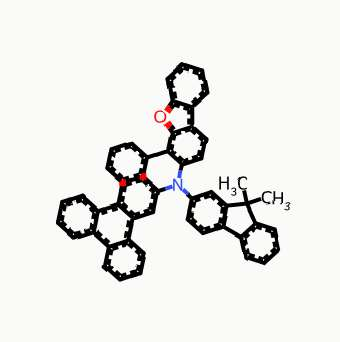 CC1(C)c2ccccc2-c2ccc(N(c3ccc4c5ccccc5c5ccccc5c4c3)c3ccc4c(oc5ccccc54)c3-c3ccccc3)cc21